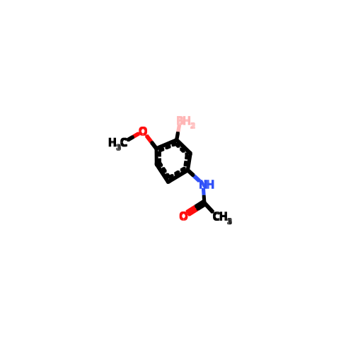 Bc1cc(NC(C)=O)ccc1OC